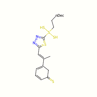 CCCCCCCCCCCCS(S)(S)c1nnc(C=C(C)C2=CC=CC(=S)C2)s1